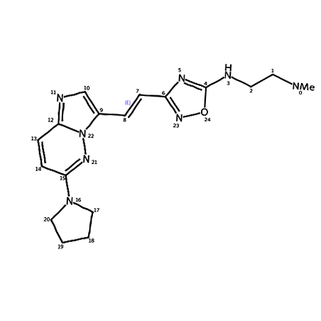 CNCCNc1nc(/C=C/c2cnc3ccc(N4CCCC4)nn23)no1